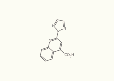 O=C(O)c1cc(-n2nccn2)nc2ccccc12